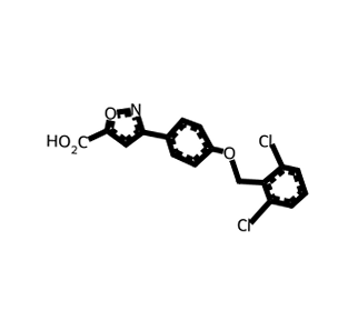 O=C(O)c1cc(-c2ccc(OCc3c(Cl)cccc3Cl)cc2)no1